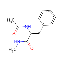 CNC(=O)[C@H](Cc1ccccc1)NC(C)=O